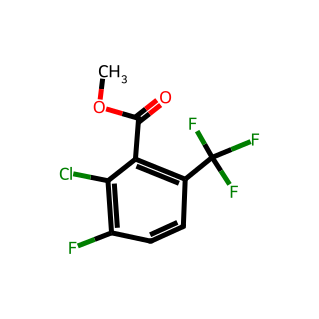 COC(=O)c1c(C(F)(F)F)ccc(F)c1Cl